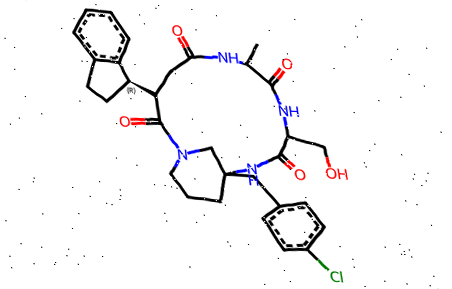 CC1NC(=O)CC([C@H]2CCc3ccccc32)C(=O)N2CCCC(Cc3ccc(Cl)cc3)(C2)NC(=O)C(CO)NC1=O